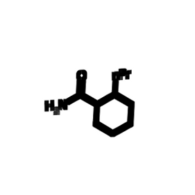 CCCC1CCCCC1C(N)=O